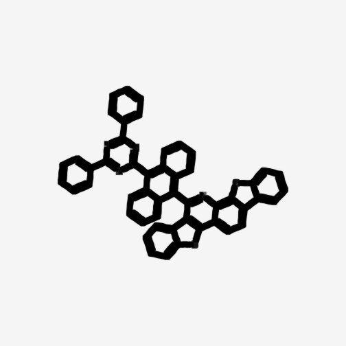 c1ccc(-c2nc(-c3ccccc3)nc(-c3c4ccccc4c(-c4nc5c(ccc6c7ccccc7oc65)c5oc6ccccc6c45)c4ccccc34)n2)cc1